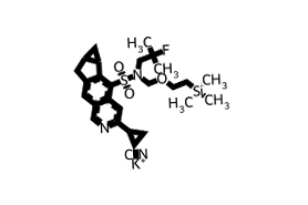 CC(C)(F)CN(COCC[Si](C)(C)C)S(=O)(=O)c1c2c(cc3cnc(C4CC4)cc13)CC1CC21.[C-]#N.[K+]